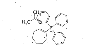 CC(C)OC1=C([PH](c2ccccc2)(c2ccccc2)c2ccccc2)CCCCC1